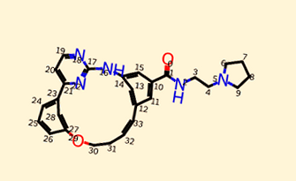 O=C(NCCN1CCCC1)c1cc2cc(c1)Nc1nccc(n1)-c1cccc(c1)OCC/C=C\2